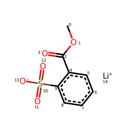 COC(=O)c1ccccc1S(=O)(=O)[O-].[Li+]